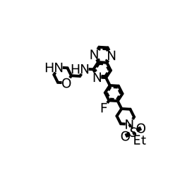 CCS(=O)(=O)N1CCC(c2ccc(-c3cc4nccnc4c(NCC4CNCCO4)n3)cc2F)CC1